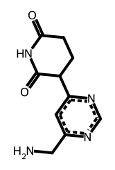 NCc1cc(C2CCC(=O)NC2=O)ncn1